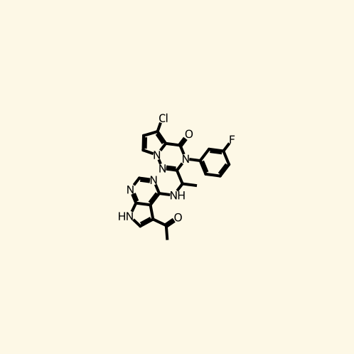 CC(=O)c1c[nH]c2ncnc(NC(C)c3nn4ccc(Cl)c4c(=O)n3-c3cccc(F)c3)c12